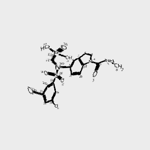 CNC(=O)N1CCc2cc(N(CP(=O)(O)O)S(=O)(=O)c3cc(Cl)cc(Cl)c3)ccc21